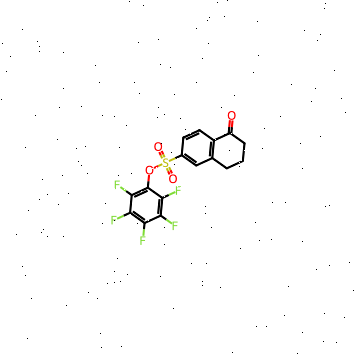 O=C1CCCc2cc(S(=O)(=O)Oc3c(F)c(F)c(F)c(F)c3F)ccc21